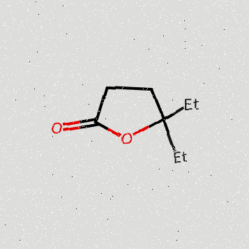 CCC1(CC)CCC(=O)O1